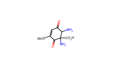 COC1=CC(=O)C(N)C(N)(C(=O)O)C1=O